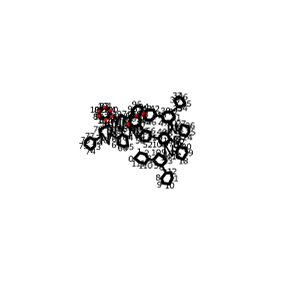 c1ccc(-c2cc(-c3ccccc3)cc(N3c4ccccc4B4c5ccccc5N(c5cc(-c6ccccc6)cc(-c6ccccc6)c5)c5cc(-c6ccc7c(c6)c6ccccc6n7-c6cccc(-c7nc(-c8ccccc8)cc(-c8ccccc8)n7)c6-c6nc(-c7ccccc7)cc(-c7ccccc7)n6)cc3c54)c2)cc1